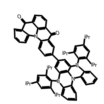 CC(C)c1cc(C(C)C)c(B2c3ccccc3N3c4ccccc4B(c4c(C(C)C)cc(C(C)C)cc4C(C)C)c4cc(-c5ccc6c(c5)c(=O)c5cccc7c(=O)c8ccccc8n6c75)cc2c43)c(C(C)C)c1